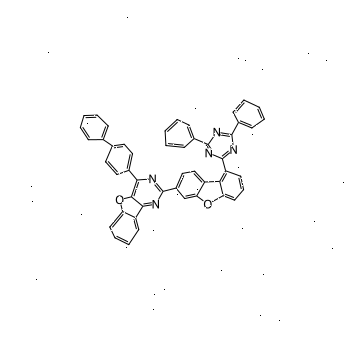 c1ccc(-c2ccc(-c3nc(-c4ccc5c(c4)oc4cccc(-c6nc(-c7ccccc7)nc(-c7ccccc7)n6)c45)nc4c3oc3ccccc34)cc2)cc1